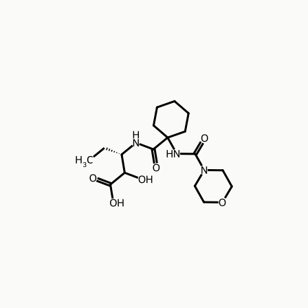 CC[C@H](NC(=O)C1(NC(=O)N2CCOCC2)CCCCC1)C(O)C(=O)O